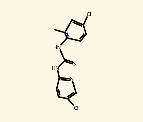 Cc1cc(Cl)ccc1NC(=S)Nc1ccc(Cl)cn1